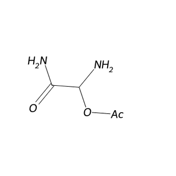 CC(=O)OC(N)C(N)=O